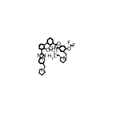 C=C[C@@H]1CCCN1Cc1cc2nc(-c3cccc(-c4cccc(-c5nc6ccc(CN7CCCC7)cn6n5)c4C)c3C)oc2cc1OC(F)F